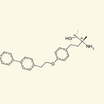 C[C@@H](O)[C@](C)(N)CCc1ccc(OCCc2ccc(-c3ccccc3)cc2)cc1